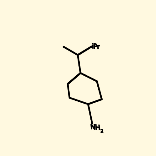 CC(C)C(C)C1CCC(N)CC1